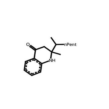 CCCCCC(C)C1(C)CC(=O)c2ccccc2N1